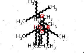 CCCCCCCc1ccc(OC(C)(C)Cc2ccc(O)c(CC(C)(C)Oc3ccc(CCCCCCC)c(CCCCCCC)c3CCCCCCC)c2CC(C)(C)Oc2ccc(CCCCCCC)c(CCCCCCC)c2CCCCCCC)c(CCCCCCC)c1CCCCCCC